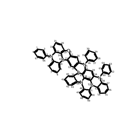 c1ccc(N2c3ccccc3B3c4cc5c(cc4Oc4cccc2c43)N(c2ccccc2)c2cc3c4c6c2B5c2ccccc2N6c2ccccc2B4c2ccccc2N3c2ccccc2)cc1